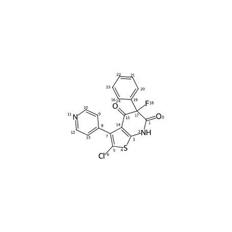 O=C1Nc2sc(Cl)c(-c3ccncc3)c2C(=O)C1(F)c1ccccc1